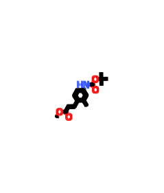 COC(=O)/C=C/c1ccc(NC(=O)OC(C)(C)C)cc1C